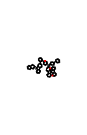 c1ccc(-c2ccc(N(c3ccc(-c4ccccc4-c4ccc5c6ccccc6n(-c6ccc7ccccc7c6)c5c4)cc3)c3ccc4c(c3)C3(c5ccccc5-c5ccccc53)c3ccccc3-4)cc2)cc1